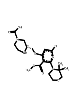 COC(=O)c1c(OC[C@H]2CN(C(=O)O)CCN2)cc(Cl)nc1N1CCOCC1(C)C